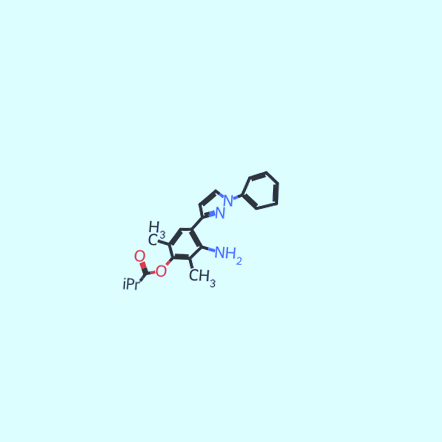 Cc1cc(-c2ccn(-c3ccccc3)n2)c(N)c(C)c1OC(=O)C(C)C